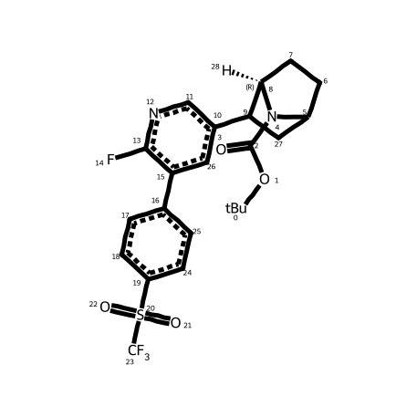 CC(C)(C)OC(=O)N1C2CC[C@@H]1C(c1cnc(F)c(-c3ccc(S(=O)(=O)C(F)(F)F)cc3)c1)C2